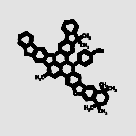 Cc1cc2c3c4c1c1cc5oc6ccccc6c5cc1n4-c1cc4c(cc1B3N(c1ccc(C(C)(C)C)cc1)c1cc3c(cc1-2)oc1cc2c(cc13)C(C)(C)CCC2(C)C)C(C)(C)c1ccccc1-4